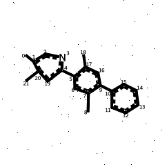 Cc1cnc(-c2cc(C)c(-c3ccccc3)cc2C)cc1C